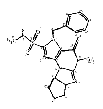 CNS(=O)(=O)c1nc2c(n1Cc1ccccc1)C(=O)N(C)C1=NC3CCCC3N12